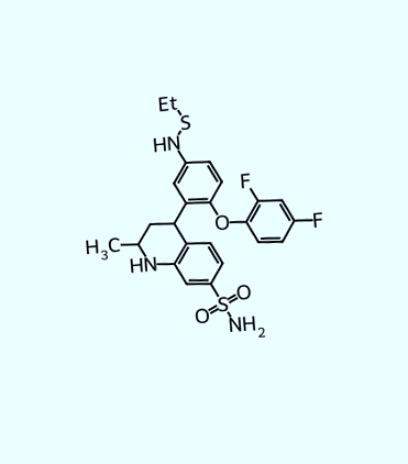 CCSNc1ccc(Oc2ccc(F)cc2F)c(C2CC(C)Nc3cc(S(N)(=O)=O)ccc32)c1